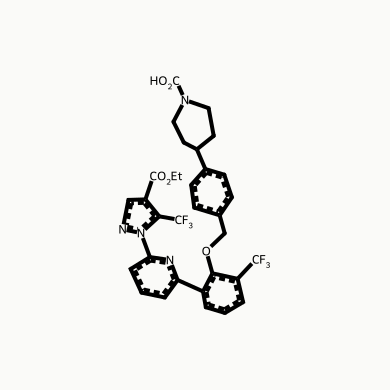 CCOC(=O)c1cnn(-c2cccc(-c3cccc(C(F)(F)F)c3OCc3ccc(C4CCN(C(=O)O)CC4)cc3)n2)c1C(F)(F)F